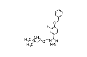 C[Si](C)(C)CCOCn1nnnc1-c1ccc(OCc2ccccc2)c(F)c1